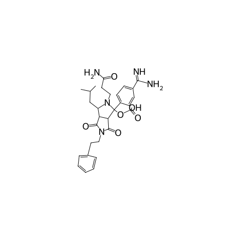 CC(C)CC1C2C(=O)N(CCc3ccccc3)C(=O)C2C(OC(=O)O)(c2ccc(C(=N)N)cc2)N1CCC(N)=O